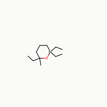 CCC1(C)CCC[Si](CC)(CC)O1